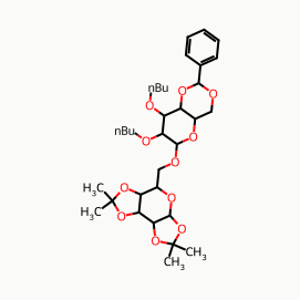 CCCCOC1C(OCC2OC3OC(C)(C)OC3C3OC(C)(C)OC23)OC2COC(c3ccccc3)OC2C1OCCCC